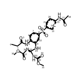 CCC(=O)Nc1ccc(S(=O)(=O)c2ccc(NC(C)=O)cc2)cc1NC(=NC(=O)OC)NC(=O)OC